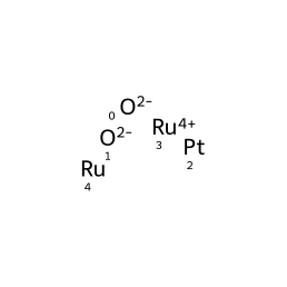 [O-2].[O-2].[Pt].[Ru+4].[Ru]